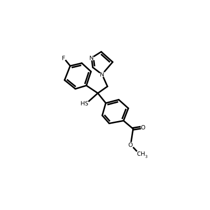 COC(=O)c1ccc(C(S)(Cn2ccnc2)c2ccc(F)cc2)cc1